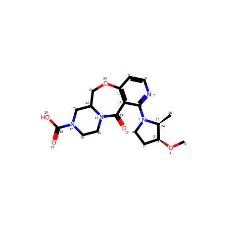 CO[C@H]1CCN(c2nccc3c2C(=O)N2CCN(C(=O)O)CC2CO3)[C@H]1C